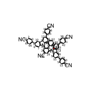 N#Cc1ccc(-c2ccc3c(c2)c2cc(-c4ccc(C#N)cc4)ccc2n3-c2cc(C#N)cc(-n3c4ccc(-c5ccc(C#N)cc5)cc4c4cc(-c5ccc(C#N)cc5)ccc43)c2-c2ccccc2C(F)(F)F)cc1